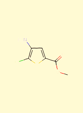 COC(=O)c1cc(N)c(Cl)s1